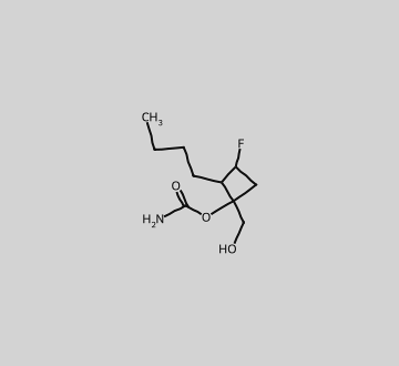 CCCCC1C(F)CC1(CO)OC(N)=O